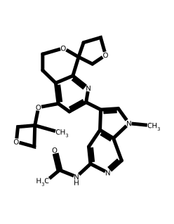 CC(=O)Nc1cc2c(-c3cc(OC4(C)COC4)c4c(n3)C3(CCOC3)OCC4)cn(C)c2cn1